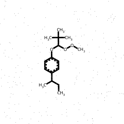 CCC(C)c1ccc(OC(OOC)C(C)(C)C)cc1